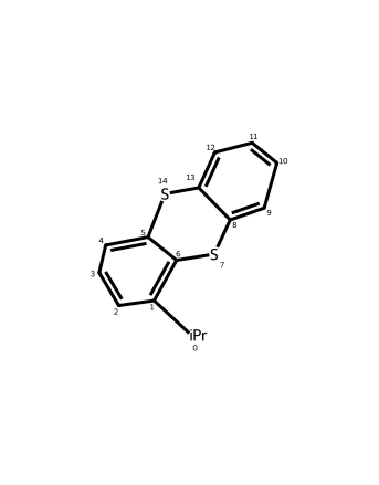 CC(C)c1cccc2c1Sc1ccccc1S2